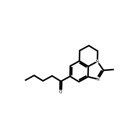 CCCCC(=O)c1cc2c3c(c1)nc(C)n3CCC2